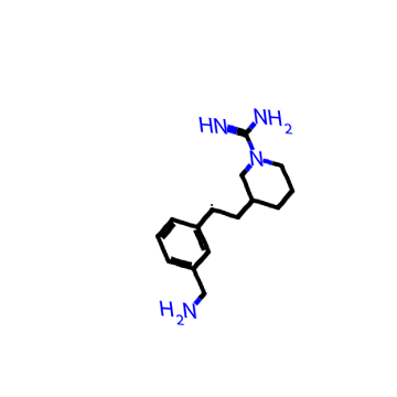 N=C(N)N1CCCC(C[CH]c2cccc(CN)c2)C1